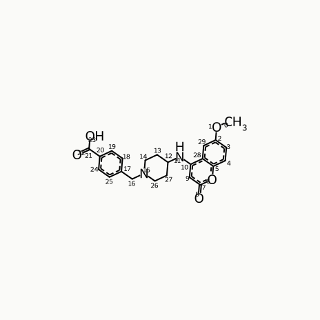 COc1ccc2oc(=O)cc(NC3CCN(Cc4ccc(C(=O)O)cc4)CC3)c2c1